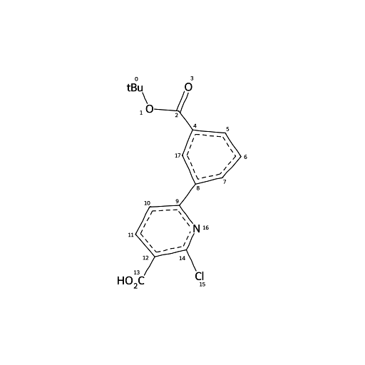 CC(C)(C)OC(=O)c1cccc(-c2ccc(C(=O)O)c(Cl)n2)c1